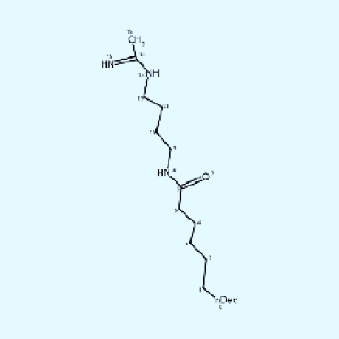 CCCCCCCCCCCCCCCC(=O)NCCCCNC(C)=N